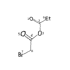 CCC(=O)OC(=O)CBr